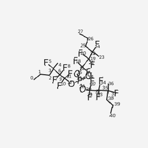 CCCC(C)(F)C(F)(F)C(F)(F)OP(=O)(OC(F)(F)C(F)(F)C(C)(F)CCC)OC(F)(F)C(F)(F)C(C)(F)CCC